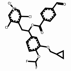 O=Cc1ccc(C(=O)OC(Cc2c(Cl)c[n+]([O-])cc2Cl)c2ccc(OC(F)F)c(OCC3CC3)c2)cc1